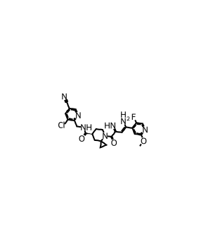 COc1cc(/C(N)=C/C(=N)C(=O)N2CC[C@H](C(=O)NCc3ncc(C#N)cc3Cl)CC23CC3)c(F)cn1